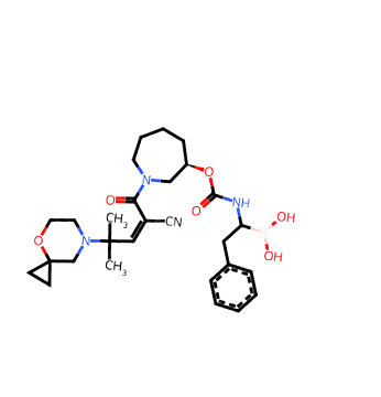 CC(C)(C=C(C#N)C(=O)N1CCCC[C@@H](OC(=O)NC(Cc2ccccc2)B(O)O)C1)N1CCOC2(CC2)C1